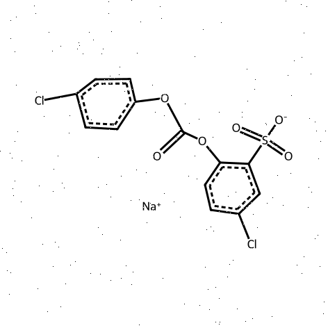 O=C(Oc1ccc(Cl)cc1)Oc1ccc(Cl)cc1S(=O)(=O)[O-].[Na+]